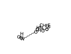 CC(Cc1ccc(OCCCCCCCCCCN2CCC(=O)N2)cc1)NCC(O)c1cccc(C(F)(F)F)c1